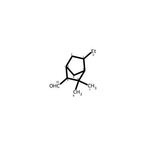 CCC1C[C]2CC1C(C)(C)C2C=O